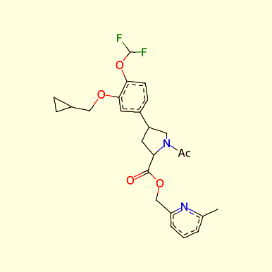 CC(=O)N1CC(c2ccc(OC(F)F)c(OCC3CC3)c2)CC1C(=O)OCc1cccc(C)n1